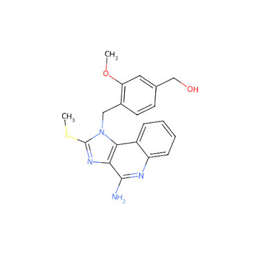 COc1cc(CO)ccc1Cn1c(SC)nc2c(N)nc3ccccc3c21